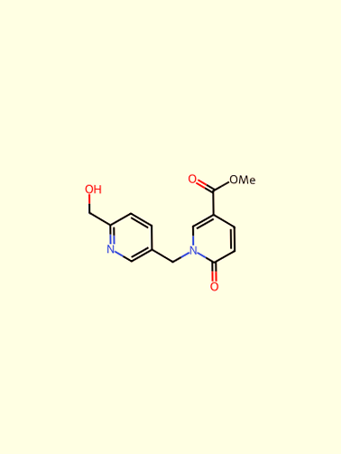 COC(=O)c1ccc(=O)n(Cc2ccc(CO)nc2)c1